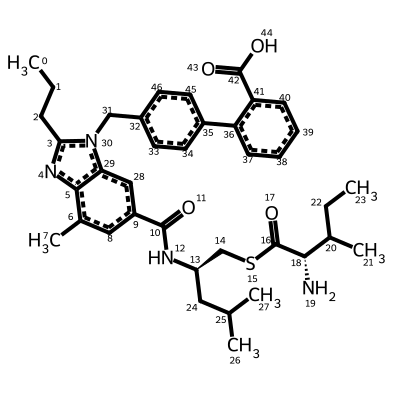 CCCc1nc2c(C)cc(C(=O)N[C@@H](CSC(=O)[C@@H](N)C(C)CC)CC(C)C)cc2n1Cc1ccc(-c2ccccc2C(=O)O)cc1